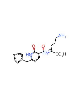 NCCC[C@H](NC(=O)c1ccc(Cc2ccccc2)[nH]c1=O)C(=O)O